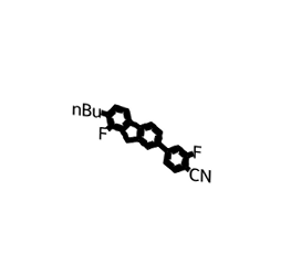 CCCCc1ccc2c(c1F)Cc1cc(-c3ccc(C#N)c(F)c3)ccc1-2